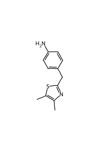 Cc1nc(Cc2ccc(N)cc2)sc1C